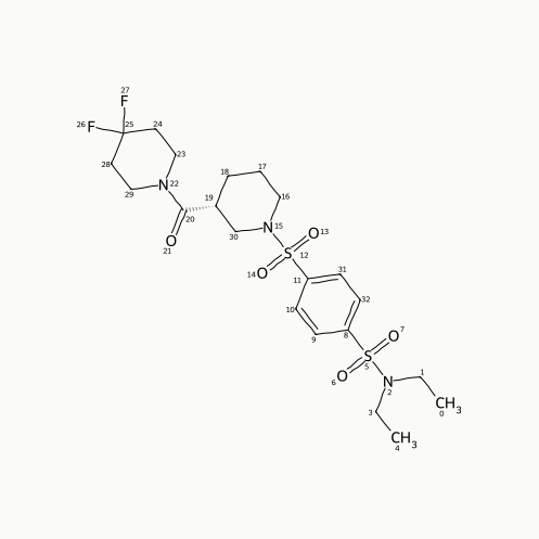 CCN(CC)S(=O)(=O)c1ccc(S(=O)(=O)N2CCC[C@@H](C(=O)N3CCC(F)(F)CC3)C2)cc1